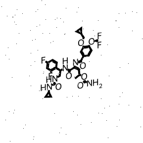 CC(OC(N)=O)c1oc(-c2ccc(OC(F)F)c(OCC3CC3)c2)nc1C(=O)NC(CNC(=O)NC1CC1)c1ccc(F)cc1F